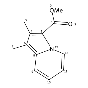 COC(=O)c1c(C)c(C)c2ccccn12